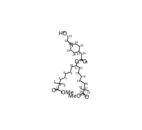 COC(=O)C(C)(C)CCCCCC(CCCCCC(C)(C)C(=O)OC)OC(=O)CC1CCN(CCO)CC1